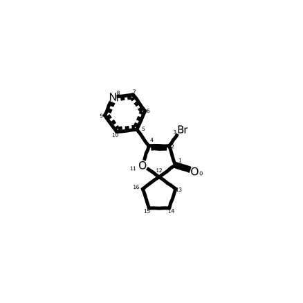 O=C1C(Br)=C(c2ccncc2)OC12CCCC2